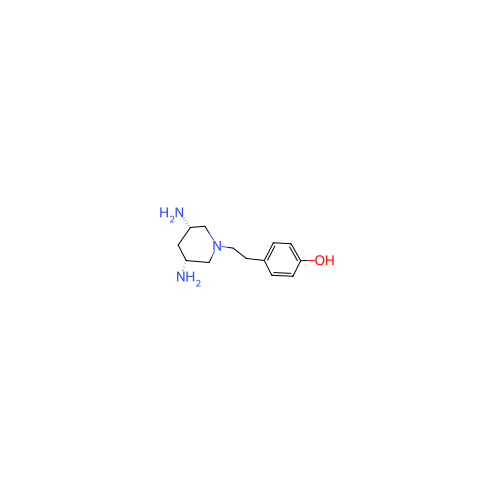 N[C@@H]1C[C@H](N)CN(CCc2ccc(O)cc2)C1